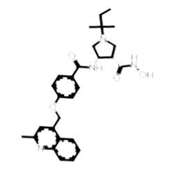 CCC(C)(C)N1C[C@H](C(=O)NO)[C@H](NC(=O)c2ccc(OCc3cc(C)nc4ccccc34)cc2)C1